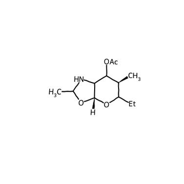 CCC1O[C@@H]2OC(C)NC2C(OC(C)=O)[C@H]1C